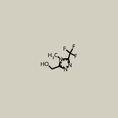 Cn1c(CO)nnc1C(F)(F)F